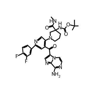 CNC(=O)C1(NC(=O)OC(C)(C)C)CCCN(c2cnc(-c3ccc(F)c(F)c3)cc2C(=O)c2cnc3c(N)nccn23)C1